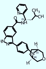 CC(C)C[C@H](NC(=O)c1ccc2[nH]nc(-c3ccc(N4[C@@H]5CC[C@H]4COC5)cc3)c2c1)c1ccccn1